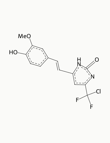 COc1cc(/C=C/c2cc(C(F)(F)Cl)nc(=O)[nH]2)ccc1O